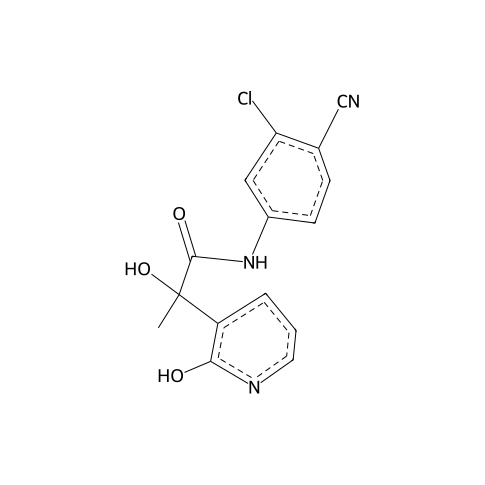 CC(O)(C(=O)Nc1ccc(C#N)c(Cl)c1)c1cccnc1O